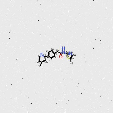 Cc1ccnc(-c2ccc(CC(=O)Nc3ncc(C)s3)cc2)c1